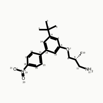 CC(C)(C)c1cc(OC[C@H](F)CN)cc(-c2ccc([N+](=O)[O-])cc2)c1